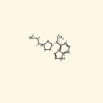 CN(c1ncnc2[nH]ccc12)[C@@H]1CCN(CCC#N)C1